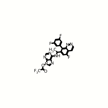 CC(Nc1ncnc2c1ncn2OC(=O)C(F)(F)F)c1cc(F)c2ccnnc2c1-c1cc(F)cc(F)c1